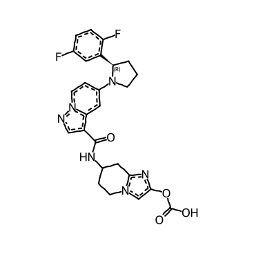 O=C(O)Oc1cn2c(n1)CC(NC(=O)c1cnn3ccc(N4CCC[C@@H]4c4cc(F)ccc4F)cc13)CC2